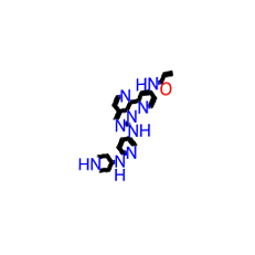 C=CC(=O)Nc1ccnc(-c2nccc3cnc(Nc4ccc(NC5CCNCC5)nc4)nc23)c1